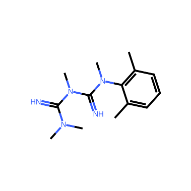 Cc1cccc(C)c1N(C)C(=N)N(C)C(=N)N(C)C